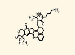 CC[C@@]1(O)C(=O)OCc2c1cc1n(c2=O)Cc2c-1nc1cccc3c1c2C(CN(C(=O)[C@@H](N)CCCCN)C(C)C)CC3